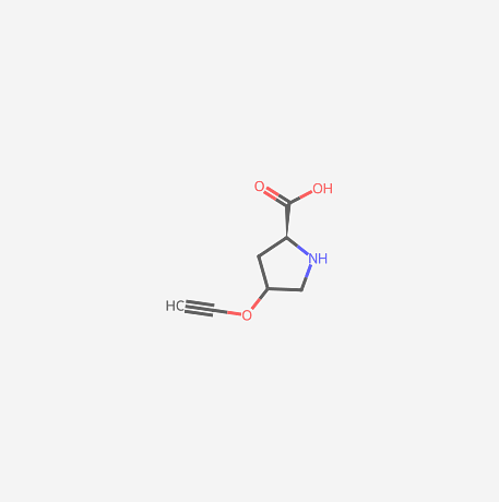 C#COC1CN[C@H](C(=O)O)C1